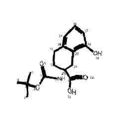 CC(C)(C)OC(=O)N[C@]1(C(=O)O)CCc2cccc(O)c2C1